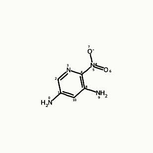 Nc1cnc([N+](=O)[O-])c(N)c1